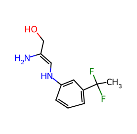 CC(F)(F)c1cccc(N/C=C(\N)CO)c1